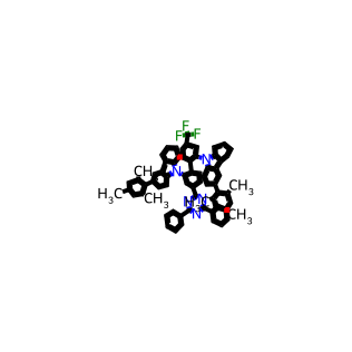 Cc1cc(C)c(-c2ccc3c(c2)c2ccccc2n3-c2cc(-c3nc(-c4ccccc4)nc(-c4ccccc4)n3)ccc2-c2ccc(C(F)(F)F)cc2-n2c3ccccc3c3cc(-c4c(C)cc(C)cc4C)ccc32)c(C)c1